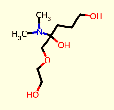 CN(C)C(O)(CCCO)COCCO